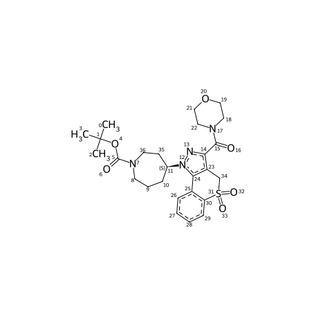 CC(C)(C)OC(=O)N1CCC[C@H](n2nc(C(=O)N3CCOCC3)c3c2-c2ccccc2S(=O)(=O)C3)CC1